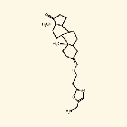 C[C@]12CCC(=NOCCc3ncc(CN)o3)CC1CCC1C2CC[C@]2(C)C(=O)CCC12